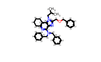 CC(C)Cn1c(COCc2ccccc2)nc2c(N(Cc3ccccc3)Cc3ccccc3)nc3c(c21)CCCC3